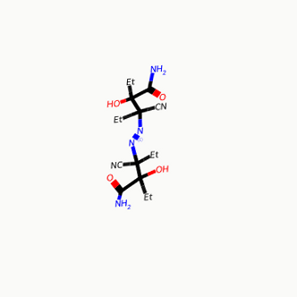 CCC(C#N)(/N=N/C(C#N)(CC)C(O)(CC)C(N)=O)C(O)(CC)C(N)=O